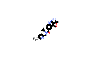 CC1(C)OCc2c1c(N)nc1ccc(C(=O)N(Cc3ccc(C(F)(F)F)cn3)C3CC3)cc21